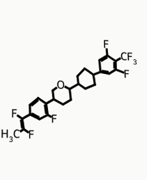 C/C(F)=C(\F)c1ccc(C2CCC(C3CCC(c4cc(F)c(C(F)(F)F)c(F)c4)CC3)OC2)c(F)c1